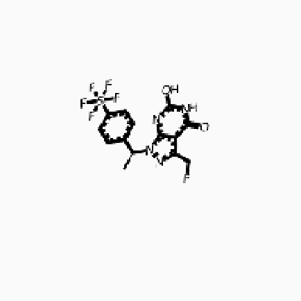 C[C@@H](c1ccc(S(F)(F)(F)(F)F)cc1)n1nc(CF)c2c(=O)[nH]c(O)nc21